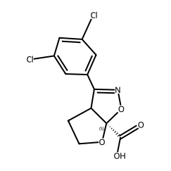 O=C(O)[C@]12OCCC1C(c1cc(Cl)cc(Cl)c1)=NO2